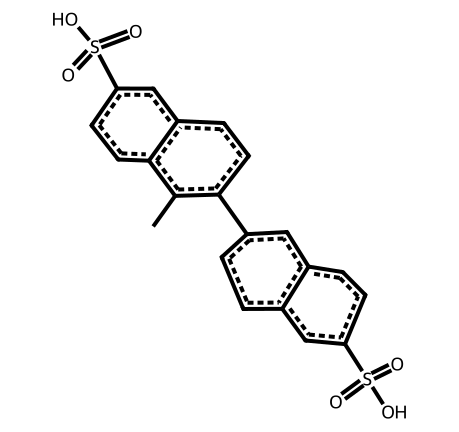 Cc1c(-c2ccc3cc(S(=O)(=O)O)ccc3c2)ccc2cc(S(=O)(=O)O)ccc12